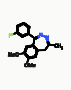 COc1cc2c(cc1OC)C(c1cccc(F)c1)=NN=C(C)C2